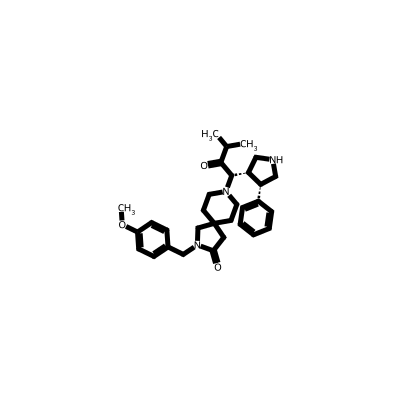 COc1ccc(CN2CC3(CCN(C(C(=O)C(C)C)[C@@H]4CNC[C@@H]4c4ccccc4)CC3)CC2=O)cc1